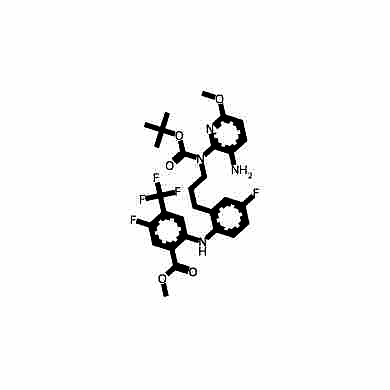 COC(=O)c1cc(F)c(C(F)(F)F)cc1Nc1ccc(F)cc1CCCN(C(=O)OC(C)(C)C)c1nc(OC)ccc1N